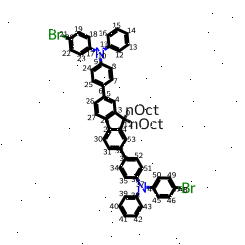 CCCCCCCCC1(CCCCCCCC)c2cc(-c3ccc(N(c4ccccc4)c4ccc(Br)cc4)cc3)ccc2-c2ccc(-c3ccc(N(c4ccccc4)c4ccc(Br)cc4)cc3)cc21